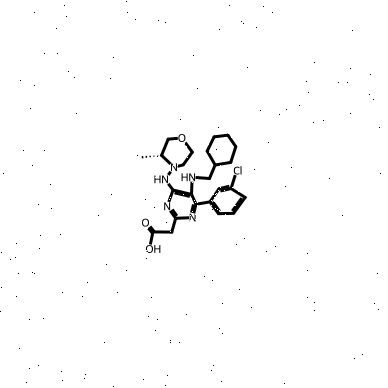 C[C@@H]1COCCN1Nc1nc(CC(=O)O)nc(-c2cccc(Cl)c2)c1NCC1CCCCC1